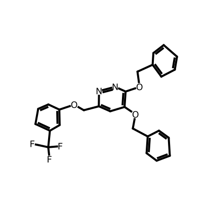 FC(F)(F)c1cccc(OCc2cc(OCc3ccccc3)c(OCc3ccccc3)nn2)c1